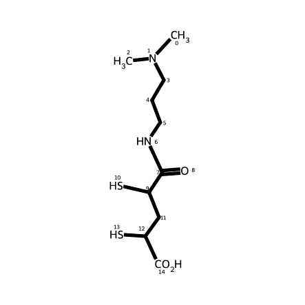 CN(C)CCCNC(=O)C(S)CC(S)C(=O)O